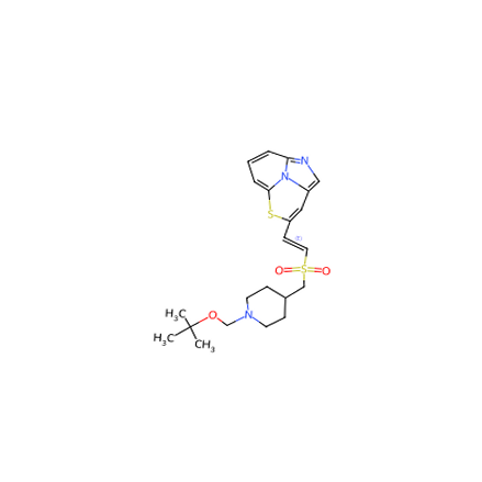 CC(C)(C)OCN1CCC(CS(=O)(=O)/C=C/C2=Cc3cnc4cccc(n34)S2)CC1